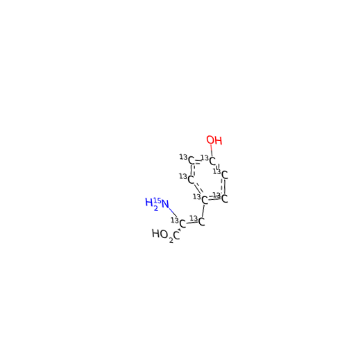 [15NH2][13C@@H]([13CH2][13c]1[13cH][13cH][13c](O)[13cH][13cH]1)[13C](=O)O